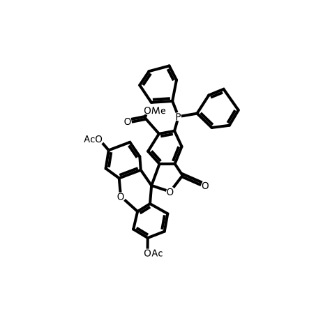 COC(=O)c1cc2c(cc1P(c1ccccc1)c1ccccc1)C(=O)OC21c2ccc(OC(C)=O)cc2Oc2cc(OC(C)=O)ccc21